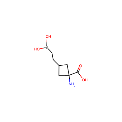 NC1(C(=O)O)CC(CCB(O)O)C1